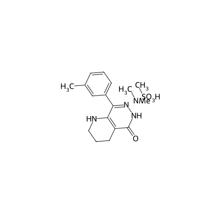 CNC.CS(=O)(=O)O.Cc1cccc(-c2n[nH]c(=O)c3c2NCCC3)c1